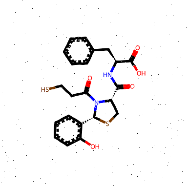 O=C(O)[C@H](Cc1ccccc1)NC(=O)[C@@H]1CS[C@H](c2ccccc2O)N1C(=O)CCS